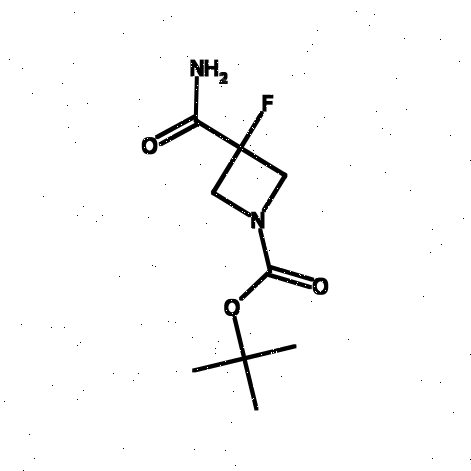 CC(C)(C)OC(=O)N1CC(F)(C(N)=O)C1